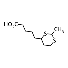 CC1SCCC(CCCCC(=O)O)S1